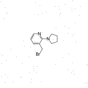 BrCc1cccnc1N1CCCC1